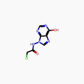 O=C(CCl)Nn1cnc2c(O)ncnc21